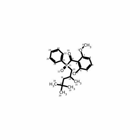 COc1cccc(Cl)c1C(=O)P(=O)(CC(C)CC(C)(C)C)c1ccccc1